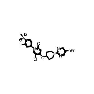 CCCc1cnc(N2CCC(Oc3cc(=O)n(-c4ccc(S(C)(=O)=O)c(F)c4)cc3Cl)CC2)nc1